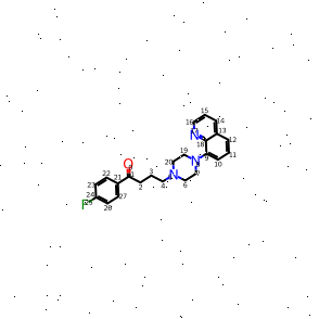 O=C(CCCN1CCN(c2cccc3cccnc23)CC1)c1ccc(F)cc1